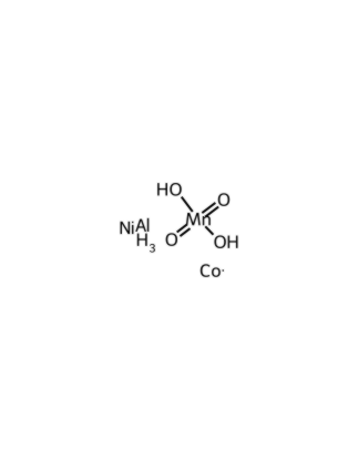 [AlH3].[Co].[Ni].[O]=[Mn](=[O])([OH])[OH]